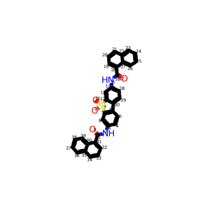 O=C(Nc1ccc2c(c1)S(=O)(=O)c1cc(NC(=O)c3cccc4ccccc34)ccc1-2)c1cccc2ccccc12